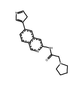 O=C(CN1CCCC1)Nc1cc2cc(C3=CN=CC3)ccc2cn1